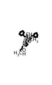 CCC(O)Cn1ccc(S(=O)(=O)N(B(C)Cc2ccccc2)B(C)Cc2ccccc2)n1